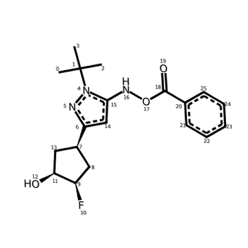 CC(C)(C)n1nc([C@H]2C[C@@H](F)[C@@H](O)C2)cc1NOC(=O)c1ccccc1